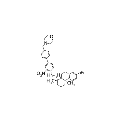 CC(C)c1ccc2c(c1)CC[C@H]1[C@@](C)(CNc3ccc(-c4ccc(CN5CCOCC5)cc4)cc3[N+](=O)[O-])CCC[C@]21C